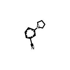 N#Cc1cccc(N2CCCC2)c1